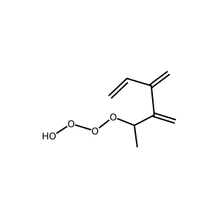 C=CC(=C)C(=C)C(C)OOOO